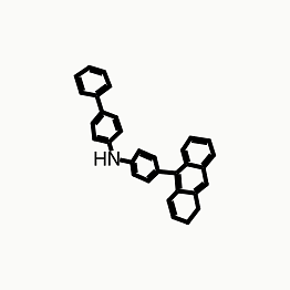 C1=Cc2c(cc3ccccc3c2-c2ccc(Nc3ccc(-c4ccccc4)cc3)cc2)CC1